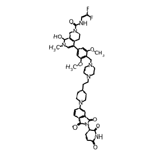 COc1cc(C2=CN(C)C(O)C3=C2CCN(C(=O)NCC(F)F)C3)cc(OC)c1CN1CCN(CCC2CCN(c3ccc4c(c3)C(=O)N(C3CCC(=O)NC3=O)C4=O)CC2)CC1